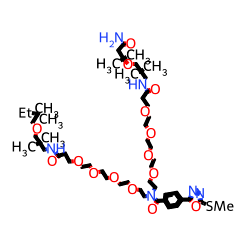 CCC(C)(C)COCC(C)(C)CNC(=O)CCOCCOCCOCCOCCN(CCOCCOCCOCCOCCC(=O)NCC(C)(C)COC(C)(C)CC(N)=O)C(=O)c1ccc(-c2nnc(SC)o2)cc1